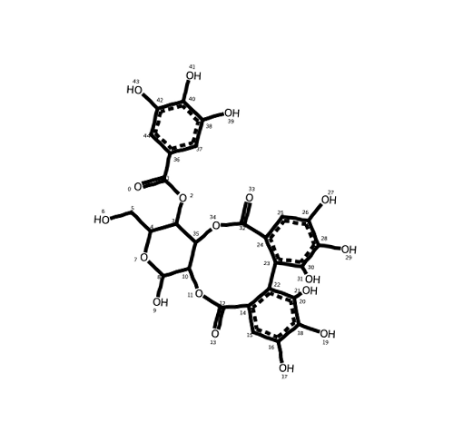 O=C(OC1C(CO)OC(O)C2OC(=O)c3cc(O)c(O)c(O)c3-c3c(cc(O)c(O)c3O)C(=O)OC21)c1cc(O)c(O)c(O)c1